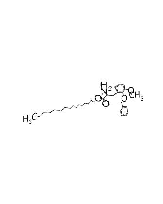 CCCCCCCCCCCCCCCCOC(=O)[C@@H](N)Cc1cccc(OC)c1OCc1ccccc1